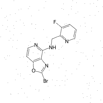 Fc1cccnc1CNc1nccc2oc(Br)nc12